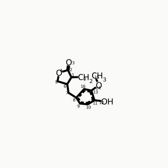 [CH2]C1C(=O)OCC1Cc1ccc(O)c(OC)c1